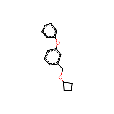 c1ccc(Oc2cccc(CO[C]3CCC3)c2)cc1